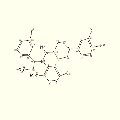 COc1ccc(Cl)cc1N1C(N2CCN(c3ccc(F)c(C)c3)CC2)=Nc2c(F)cccc2C1CC(=O)O